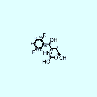 C#CCC(NC(=O)O)C(O)c1cc(F)ccc1F